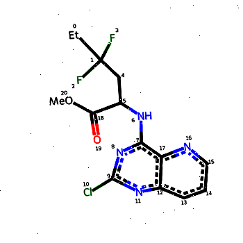 CCC(F)(F)CC(Nc1nc(Cl)nc2cccnc12)C(=O)OC